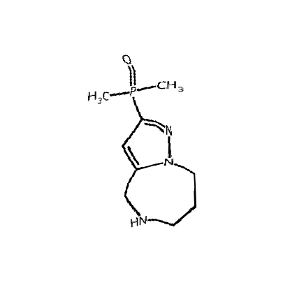 CP(C)(=O)c1cc2n(n1)CCCNC2